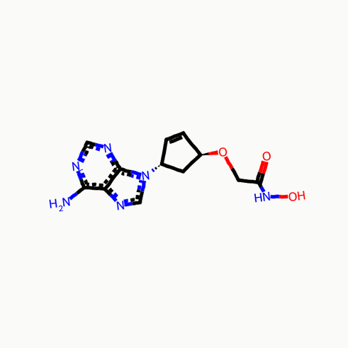 Nc1ncnc2c1ncn2[C@@H]1C=C[C@@H](OCC(=O)NO)C1